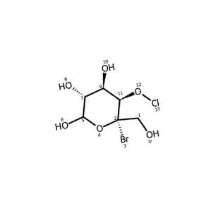 OC[C@@]1(Br)OC(O)[C@H](O)[C@@H](O)[C@H]1OCl